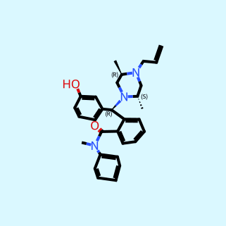 C=CCN1C[C@H](C)N([C@H](c2cccc(O)c2)c2ccccc2C(=O)N(C)c2ccccc2)C[C@H]1C